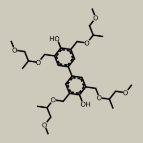 COCC(C)OCc1cc(-c2cc(COC(C)COC)c(O)c(COC(C)COC)c2)cc(COC(C)COC)c1O